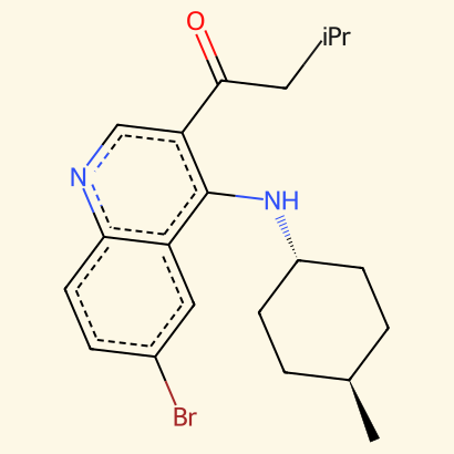 CC(C)CC(=O)c1cnc2ccc(Br)cc2c1N[C@H]1CC[C@H](C)CC1